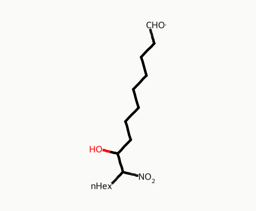 CCCCCCC(C(O)CCCCCCC[C]=O)[N+](=O)[O-]